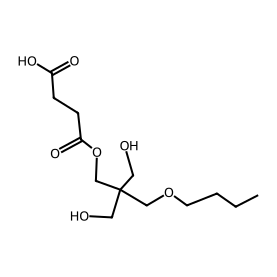 CCCCOCC(CO)(CO)COC(=O)CCC(=O)O